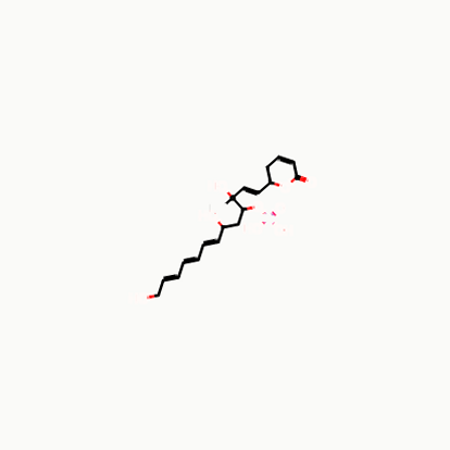 CC(O)(C=CC1CC=CC(=O)O1)C(CC(O)C=CC=CC=CCO)OP(=O)(O)O